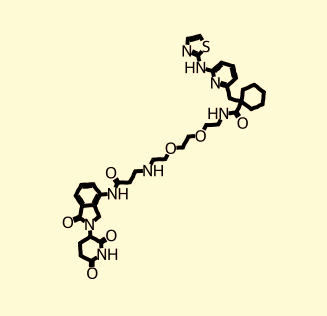 O=C1CCC(N2Cc3c(NC(=O)CCNCCOCCOCCNC(=O)C4(Cc5cccc(Nc6nccs6)n5)CCCCC4)cccc3C2=O)C(=O)N1